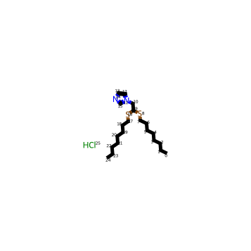 CCCCCCCCSC(Cn1ccnc1)SCCCCCCCC.Cl